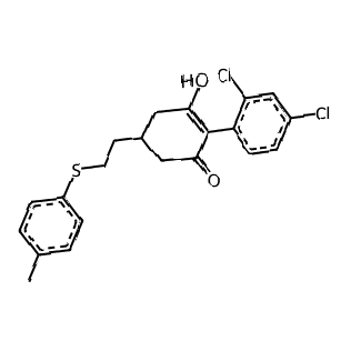 Cc1ccc(SCCC2CC(=O)C(c3ccc(Cl)cc3Cl)=C(O)C2)cc1